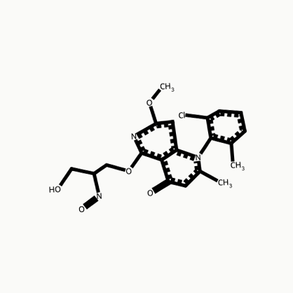 COc1cc2c(c(OCC(CO)N=O)n1)c(=O)cc(C)n2-c1c(C)cccc1Cl